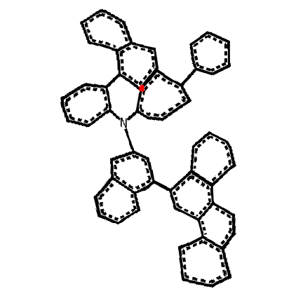 c1ccc(-c2ccc(N(c3cc(-c4cc5c6ccccc6ccc5c5ccccc45)c4ccccc4c3)c3ccccc3-c3cccc4ccccc34)cc2)cc1